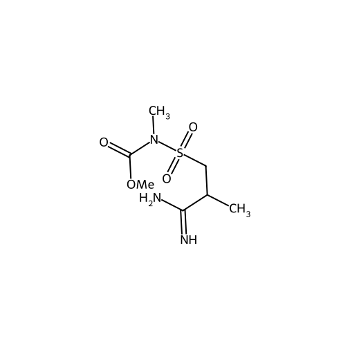 COC(=O)N(C)S(=O)(=O)CC(C)C(=N)N